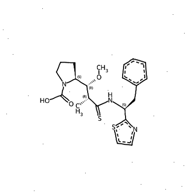 CO[C@H]([C@@H](C)C(=S)N[C@@H](Cc1ccccc1)c1nccs1)[C@@H]1CCCN1C(=O)O